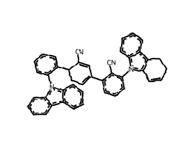 N#CC1=CC(c2cccc(-n3c4c(c5ccccc53)CCC=C4)c2C#N)=CCC1c1ccccc1-n1c2ccccc2c2ccccc21